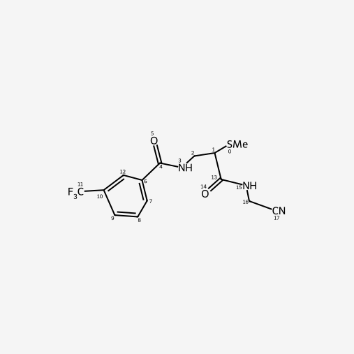 CSC(CNC(=O)c1cccc(C(F)(F)F)c1)C(=O)NCC#N